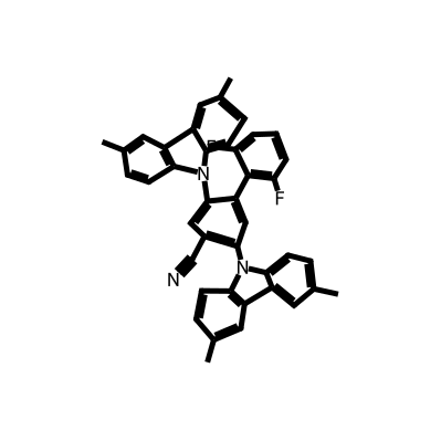 Cc1ccc2c(c1)c1cc(C)ccc1n2-c1cc(-c2c(F)cccc2F)c(-n2c3ccc(C)cc3c3cc(C)ccc32)cc1C#N